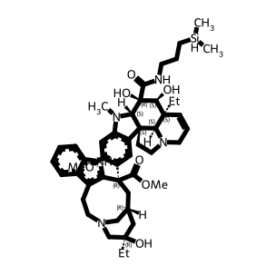 CC[C@@]1(O)C[C@@H]2CN(CCc3c([nH]c4ccccc34)[C@](C(=O)OC)(c3cc4c(cc3OC)N(C)[C@@H]3[C@](O)(C(=O)NCCC[SiH](C)C)[C@@H](O)[C@@]5(CC)C=CCN6CC[C@@]43[C@H]65)C2)C1